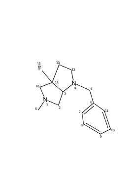 CN1CC2N(Cc3ccccc3)CCC2(F)C1